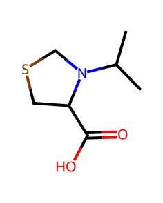 CC(C)N1CSCC1C(=O)O